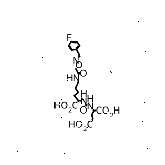 O=C(O)CCC(NC(=O)NC(CCCCNC(=O)CON=Cc1ccc(F)cc1)C(=O)O)C(=O)O